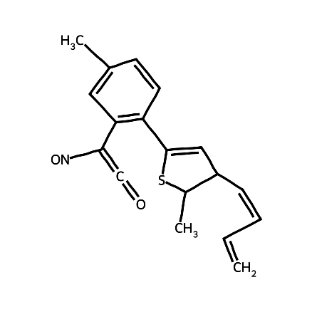 C=C/C=C\C1C=C(c2ccc(C)cc2C(=C=O)N=O)SC1C